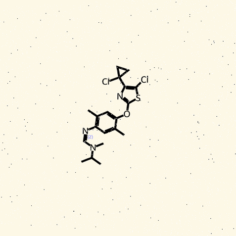 Cc1cc(Oc2nc(C3(Cl)CC3)c(Cl)s2)c(C)cc1/N=C\N(C)C(C)C